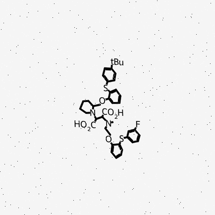 CN(CCOc1ccccc1Sc1cccc(F)c1)C(C(=O)O)C(C(=O)O)N1CCCCC1COc1ccccc1Sc1ccc(C(C)(C)C)cc1